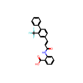 O=C(/C=C/c1ccc(-c2ccccc2)c(C(F)(F)F)c1)Nc1ccccc1C(=O)O